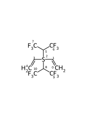 C=CS(C=C)(C(C(F)(F)F)C(F)(F)F)C(C(F)(F)F)C(F)(F)F